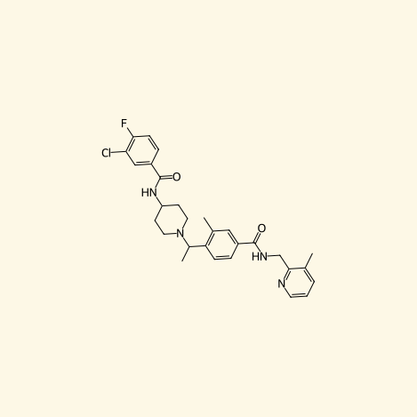 Cc1cc(C(=O)NCc2ncccc2C)ccc1C(C)N1CCC(NC(=O)c2ccc(F)c(Cl)c2)CC1